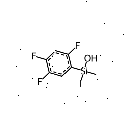 C[Si](O)(I)c1cc(F)c(F)cc1F